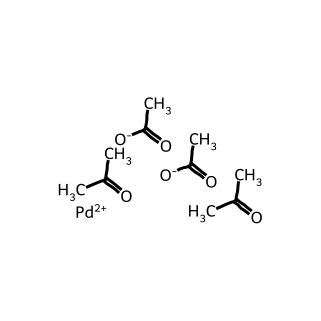 CC(=O)[O-].CC(=O)[O-].CC(C)=O.CC(C)=O.[Pd+2]